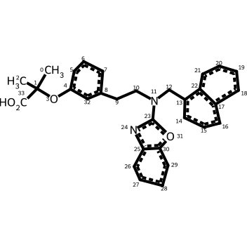 CC(C)(Oc1cccc(CCN(Cc2cccc3ccccc23)c2nc3ccccc3o2)c1)C(=O)O